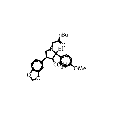 CCCCC(=O)CN1CC(c2ccc3c(c2)OCO3)C(C(=O)O)C1(CC)c1ccc(OC)cc1